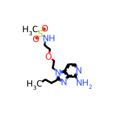 CCCc1nc2c(N)nccc2n1CCOCCNS(C)(=O)=O